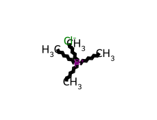 CCCCCCCC[P+](CCCCCCC)(CCCCCCC)CCCCCCCC.[Cl-]